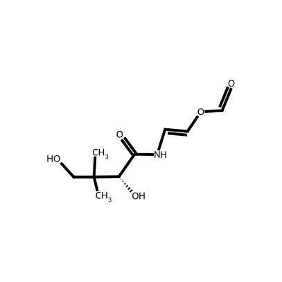 CC(C)(CO)[C@@H](O)C(=O)N/C=C/OC=O